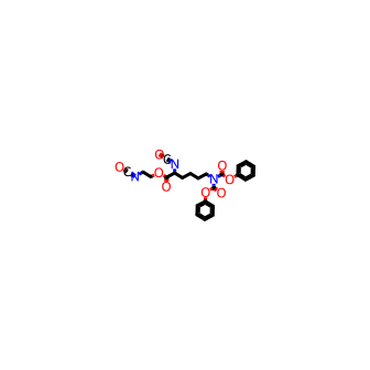 O=C=NCCOC(=O)C(CCCCN(C(=O)Oc1ccccc1)C(=O)Oc1ccccc1)N=C=O